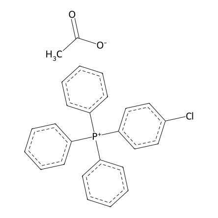 CC(=O)[O-].Clc1ccc([P+](c2ccccc2)(c2ccccc2)c2ccccc2)cc1